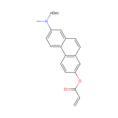 C=CC(=O)Oc1ccc2c(ccc3cc(N(C)CCCCCCCCCC)ccc32)c1